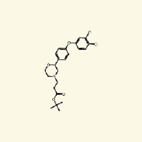 CC(C)(C)OC(=O)CCN1CCOC(c2ccc(Oc3ccc(Cl)c(Cl)c3)cc2)C1